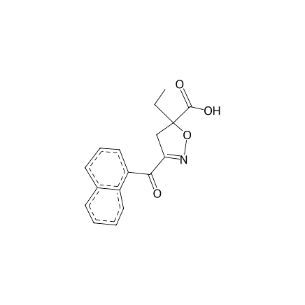 CCC1(C(=O)O)CC(C(=O)c2cccc3ccccc23)=NO1